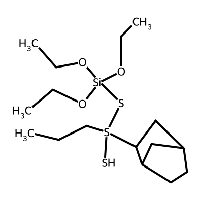 CCCS(S)(S[Si](OCC)(OCC)OCC)C1CC2CCC1C2